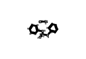 CCCl.O=[PH](Oc1ccccc1)Oc1ccccc1